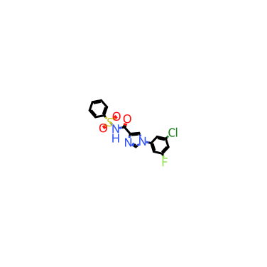 O=C(NS(=O)(=O)c1ccccc1)c1cn(-c2cc(F)cc(Cl)c2)cn1